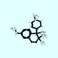 COc1ccc2c(c1)CCC(C)(C)C2(O)C1CCN(C)CC1